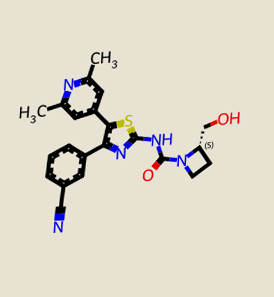 Cc1cc(-c2sc(NC(=O)N3CC[C@H]3CO)nc2-c2cccc(C#N)c2)cc(C)n1